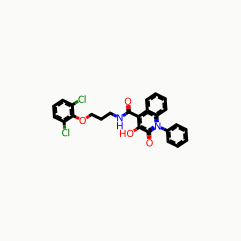 O=C(NCCCOc1c(Cl)cccc1Cl)c1c(O)c(=O)n(-c2ccccc2)c2ccccc12